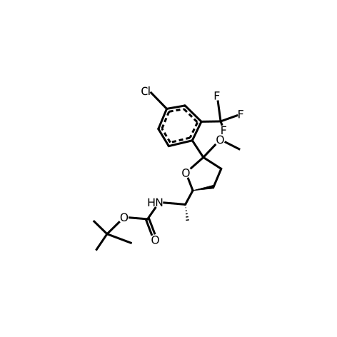 COC1(c2ccc(Cl)cc2C(F)(F)F)CC[C@@H]([C@H](C)NC(=O)OC(C)(C)C)O1